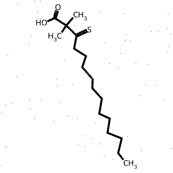 CCCCCCCCCCCCC(=S)C(C)(C)C(=O)O